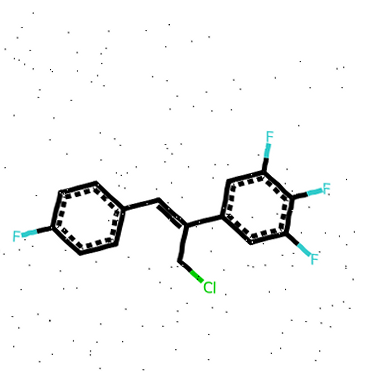 Fc1ccc(/C=C(\CCl)c2cc(F)c(F)c(F)c2)cc1